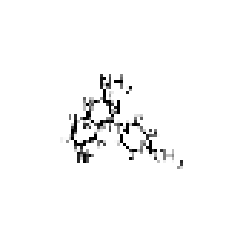 CN1CCN(c2nc(N)nc3ccc(Br)cc23)CC1